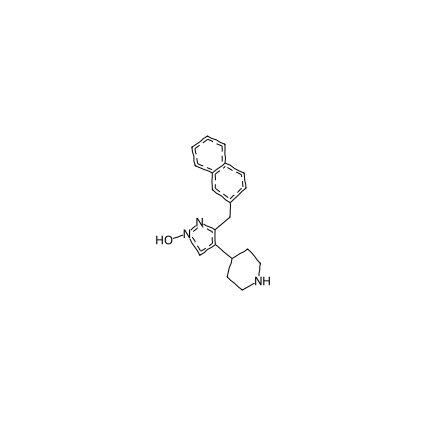 On1cc(C2CCNCC2)c(Cc2ccc3ccccc3c2)n1